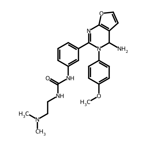 COc1ccc(N2C(c3cccc(NC(=O)NCCN(C)C)c3)=Nc3occc3C2N)cc1